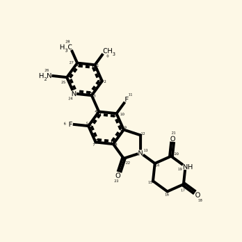 Cc1cc(-c2c(F)cc3c(c2F)CN(C2CCC(=O)NC2=O)C3=O)nc(N)c1C